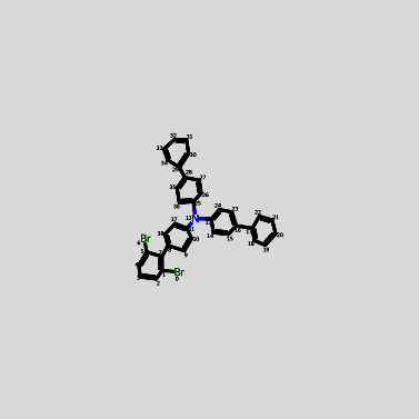 Brc1cccc(Br)c1-c1ccc(N(c2ccc(-c3ccccc3)cc2)c2ccc(-c3ccccc3)cc2)cc1